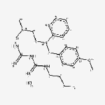 CCCCNC(=N)NC(=N)N.COc1ccc(CN(CCN(C)C)c2ccccn2)cc1.Cl